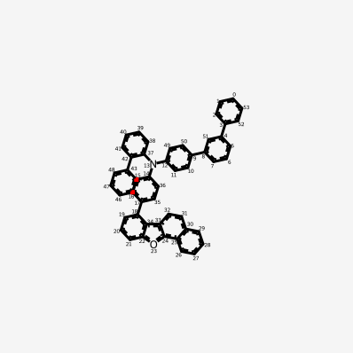 c1ccc(-c2cccc(-c3ccc(N(c4ccc(-c5cccc6oc7c8ccccc8ccc7c56)cc4)c4ccccc4-c4ccccc4)cc3)c2)cc1